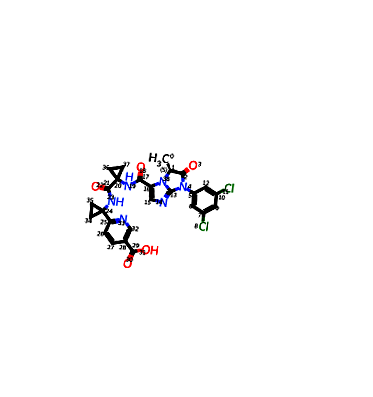 C[C@H]1C(=O)N(c2cc(Cl)cc(Cl)c2)c2ncc(C(=O)NC3(C(=O)NC4(c5ccc(C(=O)O)cn5)CC4)CC3)n21